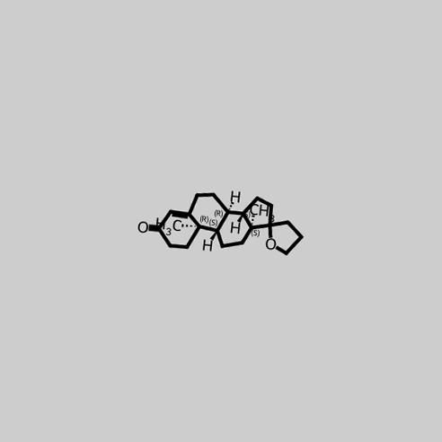 C[C@]12CCC(=O)C=C1CC[C@@H]1[C@@H]2CC[C@@]2(C)[C@H]1CCC21CCCO1